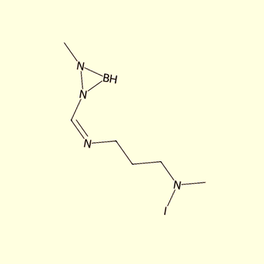 CN(I)CCC/N=C\N1BN1C